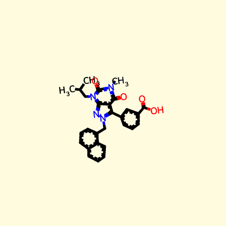 CC(C)Cn1c(=O)n(C)c(=O)c2c(-c3cccc(C(=O)O)c3)n(Cc3cccc4ccccc34)nc21